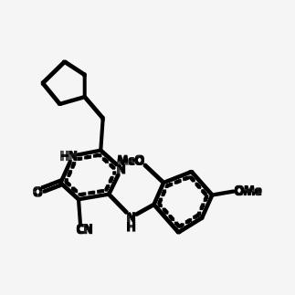 COc1ccc(Nc2nc(CC3CCCC3)[nH]c(=O)c2C#N)c(OC)c1